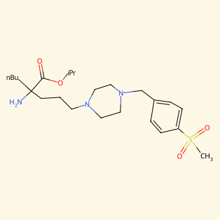 [CH2]CCCC(N)(CCCN1CCN(Cc2ccc(S(C)(=O)=O)cc2)CC1)C(=O)OC(C)C